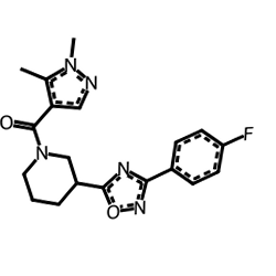 Cc1c(C(=O)N2CCCC(c3nc(-c4ccc(F)cc4)no3)C2)cnn1C